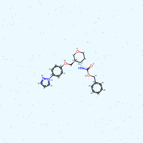 O=C(N[C@H]1CCOC[C@@H]1COc1ccc(-n2cccn2)cc1)OCc1ccccc1